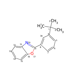 CC(C)(C)c1cccc(-c2nc3ccccc3o2)c1